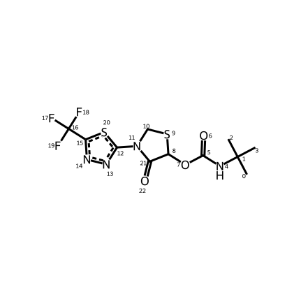 CC(C)(C)NC(=O)OC1SCN(c2nnc(C(F)(F)F)s2)C1=O